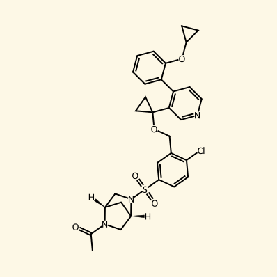 CC(=O)N1C[C@@H]2C[C@H]1CN2S(=O)(=O)c1ccc(Cl)c(COC2(c3cnccc3-c3ccccc3OC3CC3)CC2)c1